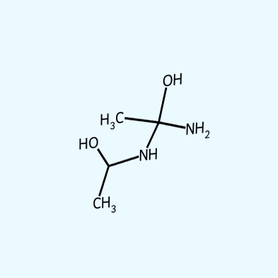 CC(O)NC(C)(N)O